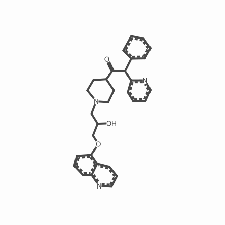 O=C(C1CCN(CC(O)COc2cccc3ncccc23)CC1)C(c1ccccc1)c1ccccn1